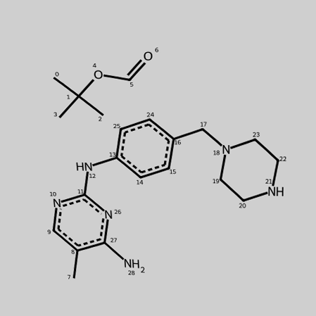 CC(C)(C)OC=O.Cc1cnc(Nc2ccc(CN3CCNCC3)cc2)nc1N